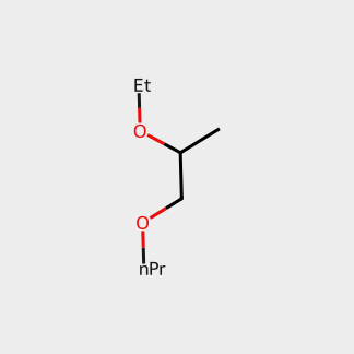 [CH2]CCOCC(C)OCC